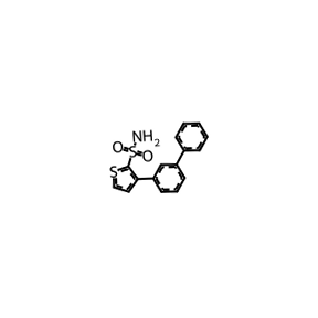 NS(=O)(=O)c1sccc1-c1cccc(-c2ccccc2)c1